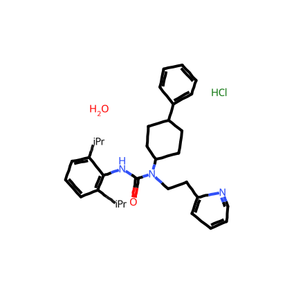 CC(C)c1cccc(C(C)C)c1NC(=O)N(CCc1ccccn1)C1CCC(c2ccccc2)CC1.Cl.O